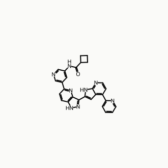 O=C(Nc1cncc(-c2ccc3[nH]nc(-c4cc5c(-c6ccccn6)ccnc5[nH]4)c3n2)c1)C1CCC1